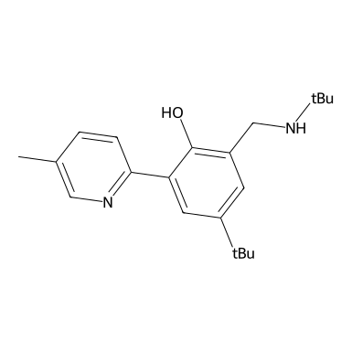 Cc1ccc(-c2cc(C(C)(C)C)cc(CNC(C)(C)C)c2O)nc1